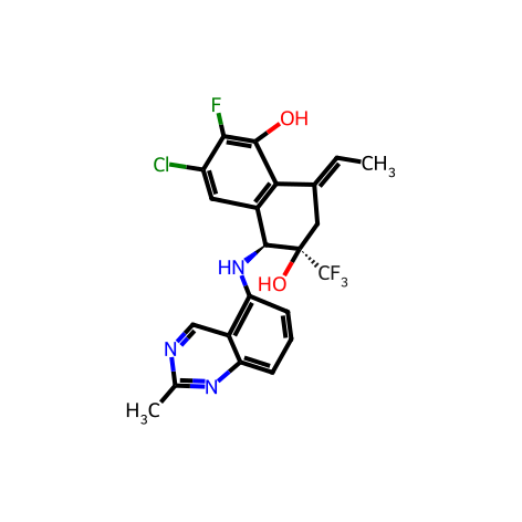 C/C=C1\C[C@](O)(C(F)(F)F)[C@@H](Nc2cccc3nc(C)ncc23)c2cc(Cl)c(F)c(O)c21